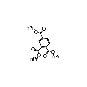 CCCOC(=O)c1ccc(C(=O)OCCC)c(C(=O)OCCC)c1